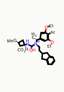 CCOc1cc([C@@H](C)N(CCC2Cc3ccccc3C2)C(O)N[C@]2(C(=O)O)C[C@@H](OC)C2)cc(OCC)c1C(C)=O